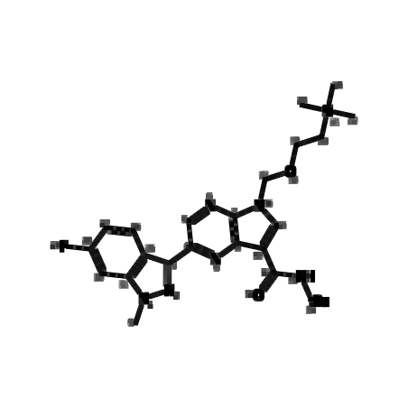 Cn1nc(-c2cnc3c(n2)c(C(=O)NC(C)(C)C)cn3COCC[Si](C)(C)C)c2ccc(F)cc21